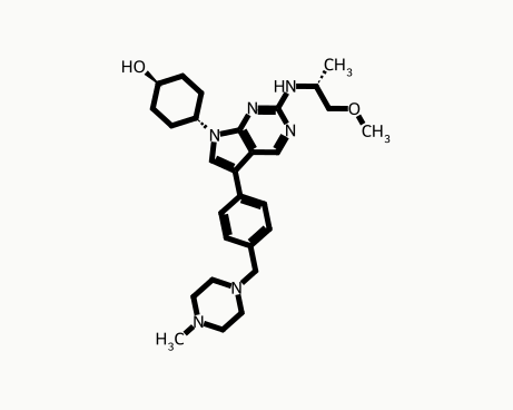 COC[C@@H](C)Nc1ncc2c(-c3ccc(CN4CCN(C)CC4)cc3)cn([C@H]3CC[C@H](O)CC3)c2n1